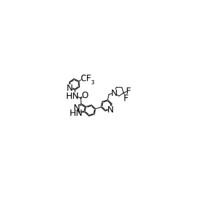 O=C(Nc1cc(C(F)(F)F)ccn1)c1n[nH]c2ccc(-c3cncc(CN4CCC(F)(F)C4)c3)cc12